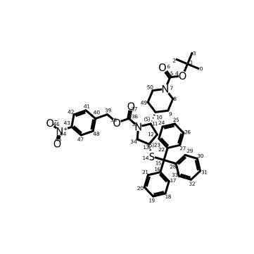 CC(C)(C)OC(=O)N1CCC([C@@H]2C[C@H](SC(c3ccccc3)(c3ccccc3)c3ccccc3)CN2C(=O)OCc2ccc([N+](=O)[O-])cc2)CC1